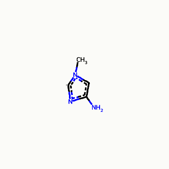 Cn1[c]nc(N)c1